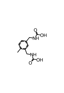 Cc1ccc(CNC(=O)O)cc1CNC(=O)O